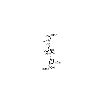 CCCCCCCCCC[C@@H](O)CN(CCCC[C@H]1NC(=O)[C@@H](CCCCN(C[C@@H](O)CCCCCCCCCC)C[C@H](C)O)NC1=O)C[C@H](O)CCCCCCCCCC